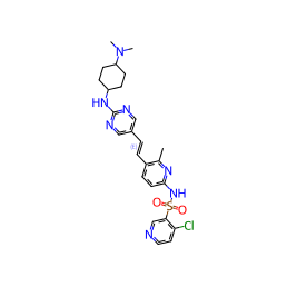 Cc1nc(NS(=O)(=O)c2cnccc2Cl)ccc1/C=C/c1cnc(NC2CCC(N(C)C)CC2)nc1